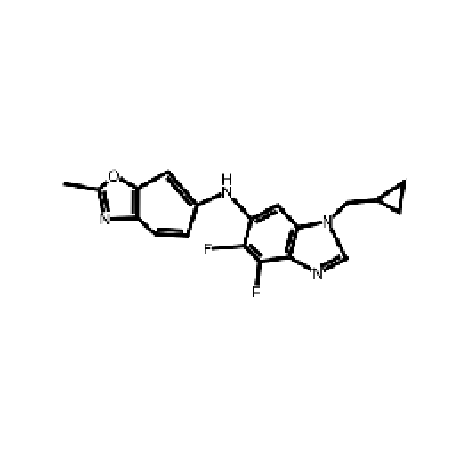 Cc1nc2ccc(Nc3cc4c(ncn4CC4CC4)c(F)c3F)cc2o1